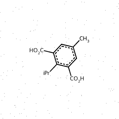 Cc1cc(C(=O)O)c(C(C)C)c(C(=O)O)c1